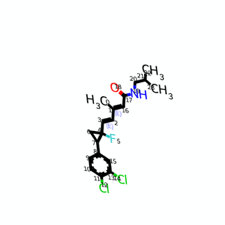 CC(/C=C/C1(F)CC1c1ccc(Cl)c(Cl)c1)=C\C(=O)NCC(C)C